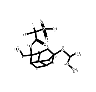 CCC1(OC(=O)C(F)(F)S(=O)(=O)O)C2CC3CC1CC(OC(C)OC)(C3)C2